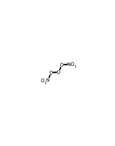 O=[N+]([O-])OOO[N+](=O)[O-]